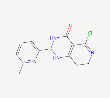 Cc1cccc(C2NC(=O)C3=C(CCN=C3Cl)N2)n1